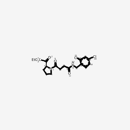 CCOC(=O)C(=O)[C@@H]1CCCN1C(=O)CCC(=O)NCc1ccc(Cl)cc1Cl